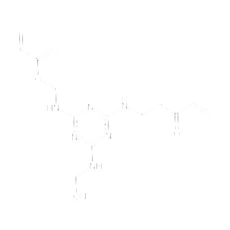 C=CC(=O)OCNc1nc(NCO)nc(NCOC(=O)C=C)n1